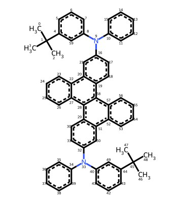 CC(C)(C)c1cccc(N(c2ccccc2)c2ccc3c(c2)c2ccccc2c2c4ccc(N(c5ccccc5)c5cccc(C(C)(C)C)c5)cc4c4ccccc4c32)c1